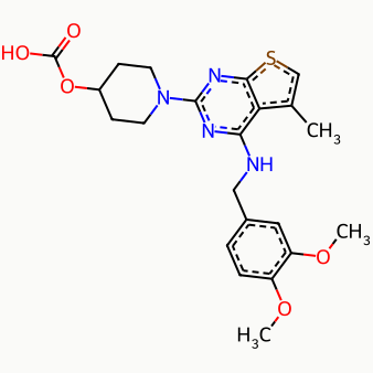 COc1ccc(CNc2nc(N3CCC(OC(=O)O)CC3)nc3scc(C)c23)cc1OC